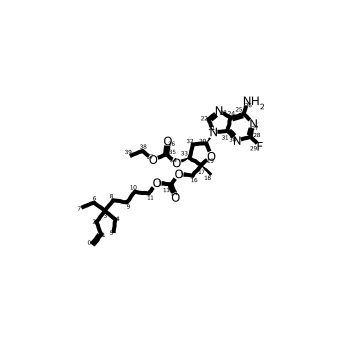 C=CCC(CC)(CC)CCCCOC(=O)OC[C@@]1(C)O[C@@H](n2cnc3c(N)nc(F)nc32)C[C@@H]1OC(=O)OCC